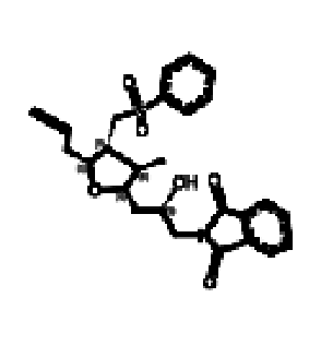 C=CC[C@@H]1O[C@H](C[C@H](O)CN2C(=O)c3ccccc3C2=O)[C@H](C)[C@H]1CS(=O)(=O)c1ccccc1